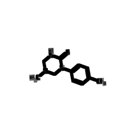 CN1CNC(=S)N(c2ccc(C(F)(F)F)cc2)C1